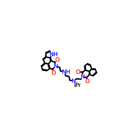 CC(C)N(CCCNCCN1C(=O)c2cccc3cc4cc[nH]c4c(c23)C1=O)CCN1C(=O)c2cccc3cccc(c23)C1=O